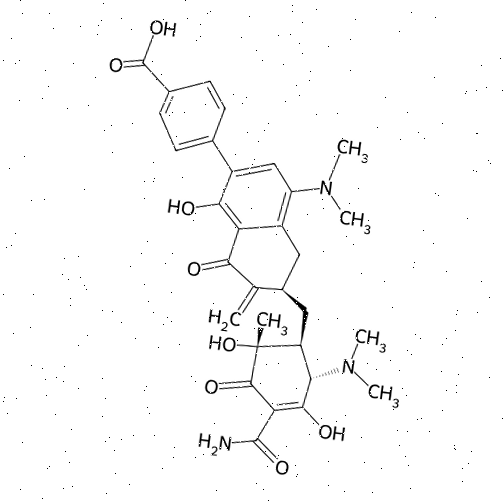 C=C1C(=O)c2c(O)c(-c3ccc(C(=O)O)cc3)cc(N(C)C)c2C[C@H]1C[C@H]1[C@H](N(C)C)C(O)=C(C(N)=O)C(=O)[C@]1(C)O